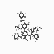 CCN(c1ccc(F)cc1CNc1nc(-c2cc(Cl)c(OCc3ccccc3)cc2CC(F)(F)F)cc2c1c(I)nn2C1CCCCO1)S(C)(=O)=O